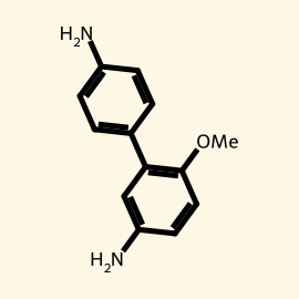 COc1ccc(N)cc1-c1ccc(N)cc1